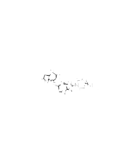 CC1(N)CCN(c2nc3nc(Sc4ccnc5ccnn45)cnc3[nH]2)CC1